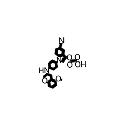 COc1cccc2c1CC(NC1CCC(n3cc(OC(=O)C(=O)O)c4cc(C#N)ccc43)CC1)CO2